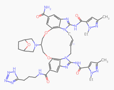 CCn1nc(C)cc1C(=O)Nc1nc2cc(C(N)=O)cc3c2n1C/C=C/Cn1c(NC(=O)c2cc(C)nn2CC)nc2cc(C(=O)NCCCc4nnn[nH]4)cc(c21)OCC(N1CC2CCC(C1)O2)CO3